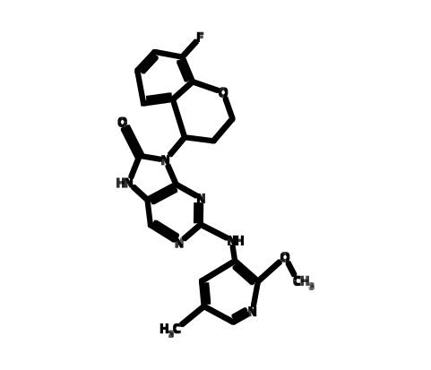 COc1ncc(C)cc1Nc1ncc2[nH]c(=O)n(C3CCOc4c(F)cccc43)c2n1